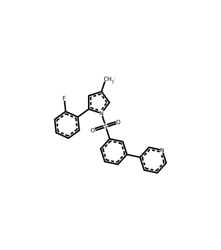 [CH2]c1cc(-c2ccccc2F)n(S(=O)(=O)c2cccc(-c3cccnc3)c2)c1